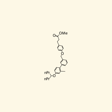 CCCC(CCC)Oc1ccc(-c2cccc(COc3ccc(CCC(=O)OC)cc3)c2)c(C)c1